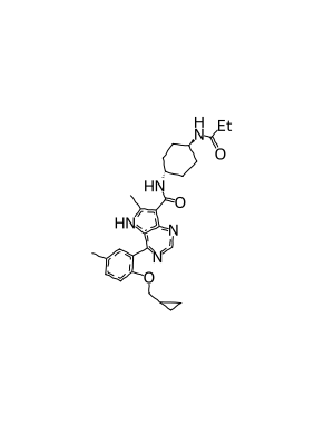 CCC(=O)N[C@H]1CC[C@H](NC(=O)c2c(C)[nH]c3c(-c4cc(C)ccc4OCC4CC4)ncnc23)CC1